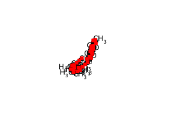 COCCCC[Si](C)(C)O[Si](C)(C)O[Si](C)(C)O[Si](C)(C)O[Si](C)(C)O[Si](C)(C)CCCCOc1ccc(-n2c(=O)c3cc4c(=O)n(-c5ccc(C)cc5)c(=O)c4cc3c2=O)cc1